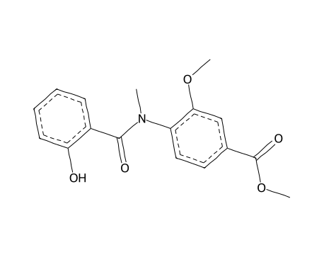 COC(=O)c1ccc(N(C)C(=O)c2ccccc2O)c(OC)c1